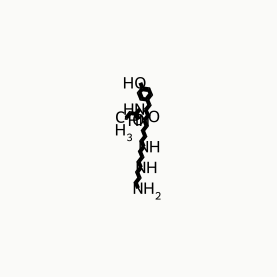 CCCC(=O)NC(Cc1ccc(O)cc1)C(=O)NCCCCNCCCNCCCN